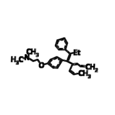 C=C/C=C(\C=C/C)C(=C(\CC)c1ccccc1)/c1ccc(OCCN(C)C)cc1